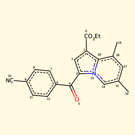 CCOC(=O)c1cc(C(=O)c2ccc(C#N)cc2)n2cc(C)cc(C)c12